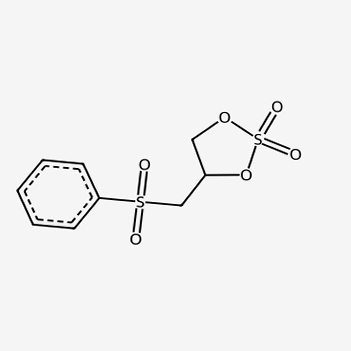 O=S1(=O)OCC(CS(=O)(=O)c2ccccc2)O1